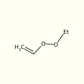 C=COOCC